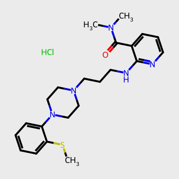 CSc1ccccc1N1CCN(CCCNc2ncccc2C(=O)N(C)C)CC1.Cl